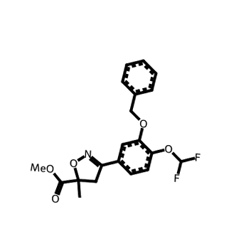 COC(=O)C1(C)CC(c2ccc(OC(F)F)c(OCc3ccccc3)c2)=NO1